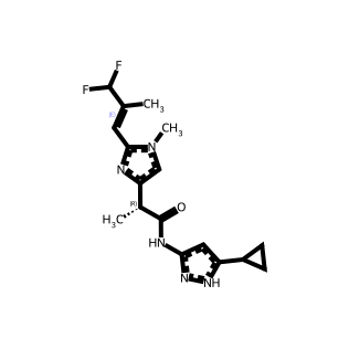 C/C(=C\c1nc([C@@H](C)C(=O)Nc2cc(C3CC3)[nH]n2)cn1C)C(F)F